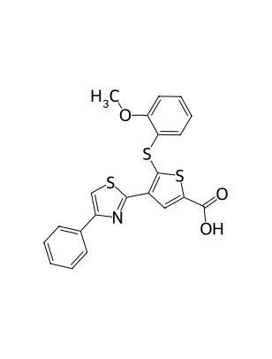 COc1ccccc1Sc1sc(C(=O)O)cc1-c1nc(-c2ccccc2)cs1